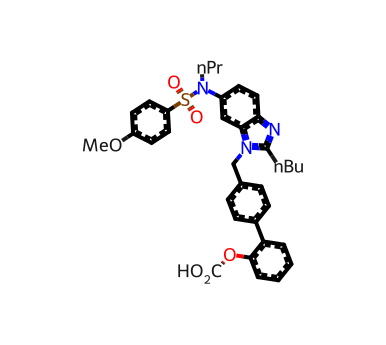 CCCCc1nc2ccc(N(CCC)S(=O)(=O)c3ccc(OC)cc3)cc2n1Cc1ccc(-c2ccccc2OC(=O)O)cc1